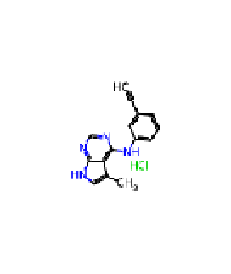 C#Cc1cccc(Nc2ncnc3[nH]cc(C)c23)c1.Cl